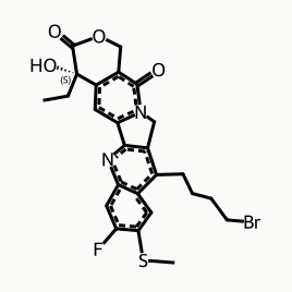 CC[C@@]1(O)C(=O)OCc2c1cc1n(c2=O)Cc2c-1nc1cc(F)c(SC)cc1c2CCCCBr